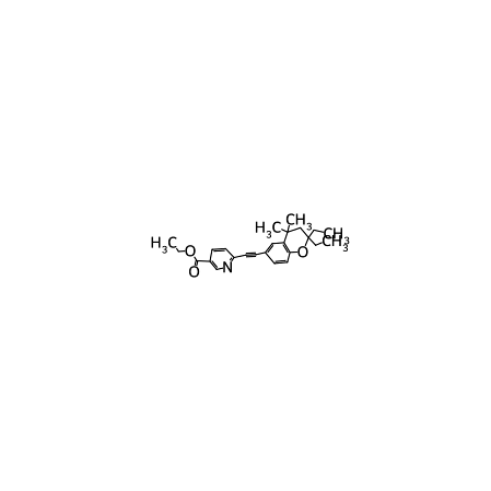 CCOC(=O)c1ccc(C#Cc2ccc3c(c2)C(C)(C)CC(CC)(CC)O3)nc1